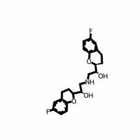 O[C@@H](CNC[C@H](O)[C@@H]1CCc2cc(F)ccc2O1)C1CCc2cc(F)ccc2O1